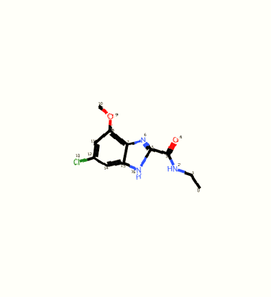 CCNC(=O)c1nc2c(OC)cc(Cl)cc2[nH]1